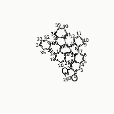 COc1cc2ccc3c4ccccc4c4c5c(c6ccccc6c4c3c2cc1OC)C(c1ccccc1)c1ccccc1-5